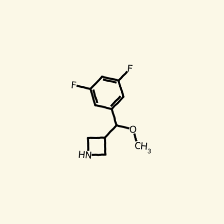 COC(c1cc(F)cc(F)c1)C1CNC1